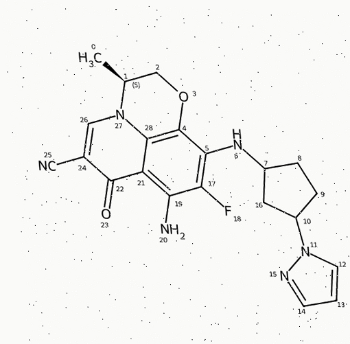 C[C@H]1COc2c(NC3CCC(n4cccn4)C3)c(F)c(N)c3c(=O)c(C#N)cn1c23